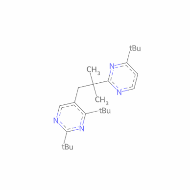 CC(C)(C)c1ccnc(C(C)(C)Cc2cnc(C(C)(C)C)nc2C(C)(C)C)n1